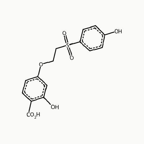 O=C(O)c1ccc(OCCS(=O)(=O)c2ccc(O)cc2)cc1O